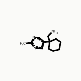 NCC1(c2cnc(C(F)(F)F)nc2)CCCCC1